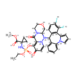 CCOP(=O)(NC1(C(=O)OC)CC1)Oc1c2n(ccc1=O)N(C1c3ccccc3-n3cccc3-c3c1ccc(F)c3F)C1COCCN1C2=O